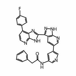 O=C(Cc1ccccc1)Nc1cncc(-c2cnc3[nH]nc(-c4nc5c(-c6ccc(F)cc6)ccnc5[nH]4)c3c2)c1